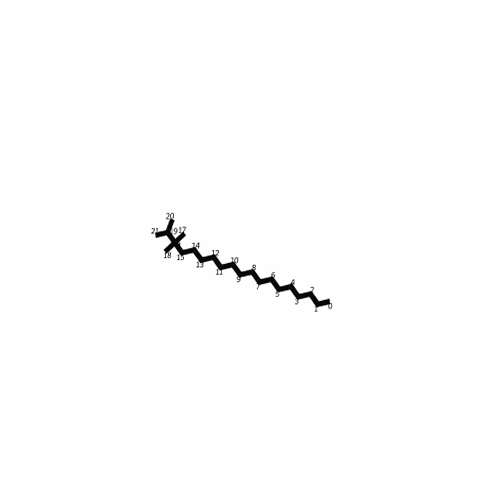 CCCCCCCCCCCCCCCCC(C)(C)[C](C)C